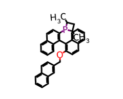 CC1CC(C)P1c1ccc2ccccc2c1-c1c(OCc2ccc3ccccc3c2)ccc2ccccc12